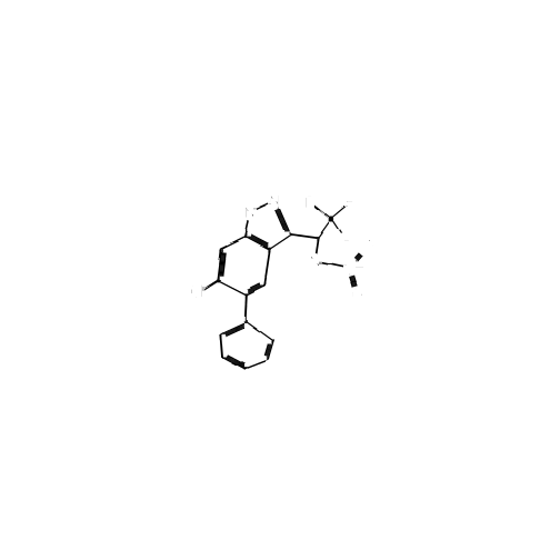 O=[SH](=O)NC(c1n[nH]c2cc(Cl)c(-c3ccccc3)cc12)C(F)(F)F